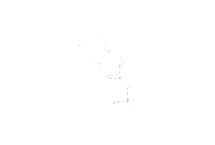 C=C(S)Nc1nc2ccccc2s1